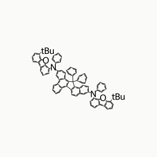 CC(C)(C)c1cccc2c1oc1c(N(c3ccccc3)c3ccc4c5c(ccc4c3)-c3c(c4ccc(N(c6ccccc6)c6cccc7c6oc6c(C(C)(C)C)cccc67)cc4c4ccccc34)C5(c3ccccc3)c3ccccc3)cccc12